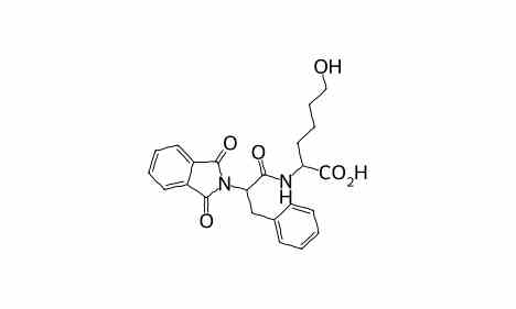 O=C(O)C(CCCCO)NC(=O)C(Cc1ccccc1)N1C(=O)c2ccccc2C1=O